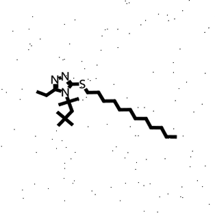 CCCCCCCCCCCCSc1nnc(CC)n1C(C)(C)CC(C)(C)C